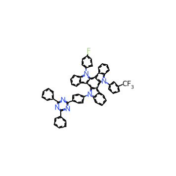 Fc1ccc(-n2c3ccccc3c3c2c2c4ccccc4n(-c4cccc(C(F)(F)F)c4)c2c2c4ccccc4n(-c4ccc(-c5nc(-c6ccccc6)nc(-c6ccccc6)n5)cc4)c32)cc1